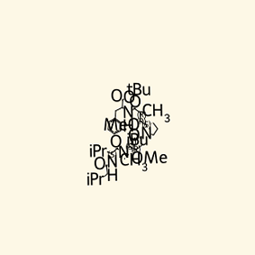 CC[C@H](C)[C@@H]([C@@H](CC(=O)N1CCC[C@H]1[C@H](OC)[C@@H](C)C(=O)NC(Cc1ccccc1)C(=O)OC(C)(C)C)OC)N(C)C(=O)[C@@H](NC(=O)CC(C)C)C(C)C